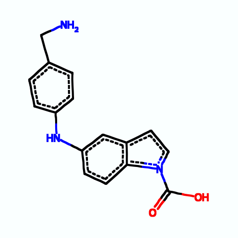 NCc1ccc(Nc2ccc3c(ccn3C(=O)O)c2)cc1